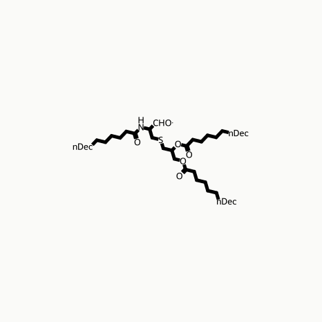 CCCCCCCCCCCCCCCC(=O)NC([C]=O)CSCC(COC(=O)CCCCCCCCCCCCCCC)OC(=O)CCCCCCCCCCCCCCC